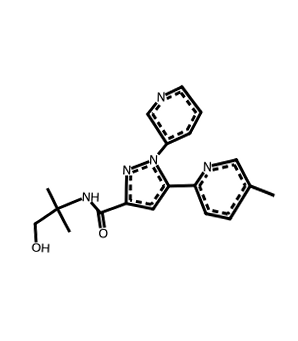 Cc1ccc(-c2cc(C(=O)NC(C)(C)CO)nn2-c2cccnc2)nc1